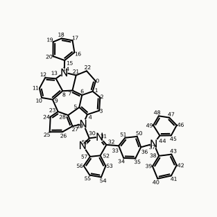 C1=c2ccc3c4c2=C2c5c(cccc5N(c5ccccc5)C2C1)-c1cccc(c14)n3-c1nc(-c2ccc(N(c3ccccc3)c3ccccc3)cc2)c2ccccc2n1